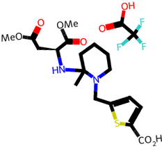 COC(=O)C[C@H](NC1(C)CCCCN1Cc1ccc(C(=O)O)s1)C(=O)OC.O=C(O)C(F)(F)F